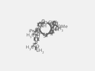 C=CC(=O)N(C)CCN1CCN(C(=O)N(C)[C@H](C(=O)N[C@H]2Cc3nc(cs3)-c3ccc4c(c3)c(c(-c3cccnc3[C@H](C)OC)n4CC)CC(C)(C)COC(=O)[C@@H]3CCCN(N3)C2=O)C(C)C)CC1